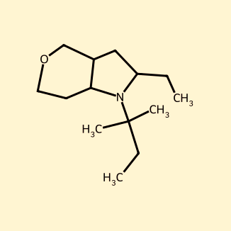 CCC1CC2COCCC2N1C(C)(C)CC